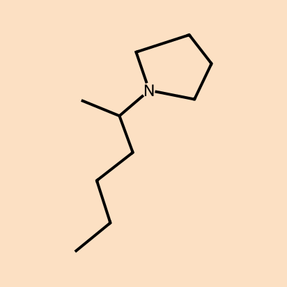 CCCCC(C)N1CCCC1